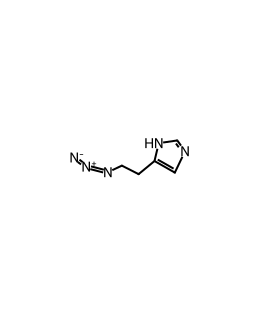 [N-]=[N+]=NCCc1cnc[nH]1